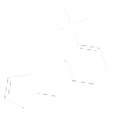 C[Si](C)(C)c1cccc(CC2=CC=CC2)c1